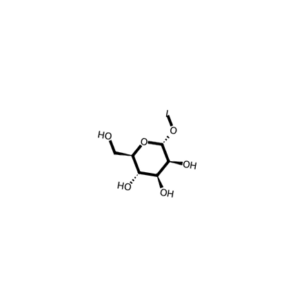 OC[C@H]1O[C@H](OI)[C@@H](O)[C@@H](O)[C@@H]1O